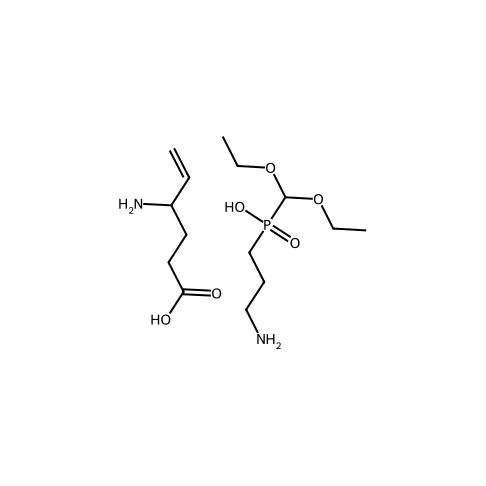 C=CC(N)CCC(=O)O.CCOC(OCC)P(=O)(O)CCCN